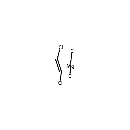 ClC=CCl.[Cl][Mg][Cl]